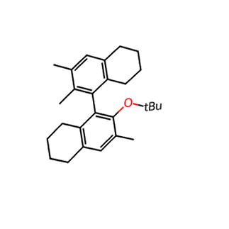 Cc1cc2c(c(-c3c4c(cc(C)c3OC(C)(C)C)CCCC4)c1C)CCCC2